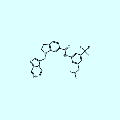 CN(C)Cc1cc(NC(=O)c2ccc3c(c2)N(Cc2cnc4cnccn24)CC3)cc(C(F)(F)F)c1